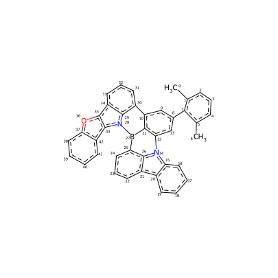 Cc1cccc(C)c1-c1cc2c3c(c1)-n1c4ccccc4c4cccc(c41)B3n1c3c-2cccc3c2oc3ccccc3c21